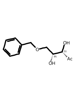 CC(=O)[C@@H](O)[C@H](O)COCc1ccccc1